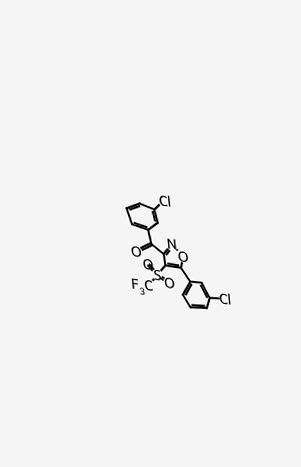 O=C(c1cccc(Cl)c1)c1noc(-c2cccc(Cl)c2)c1S(=O)(=O)C(F)(F)F